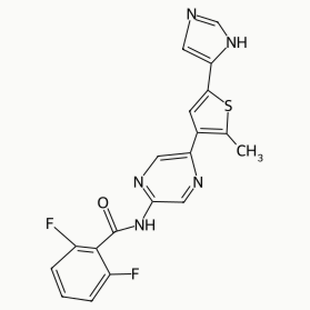 Cc1sc(-c2cnc[nH]2)cc1-c1cnc(NC(=O)c2c(F)cccc2F)cn1